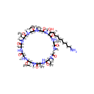 CCC[C@H]1NC(=O)[C@H]([C@H](O)[C@H](C)CCCCCCCCN)N(C)C(=O)[C@@H](C(C)C)N(C)C(=O)[C@@H](CC(C)C)N(C)C(=O)[C@H](CC(C)C)N(C)C(=O)[C@H](C)NC(=O)[C@@H](C)NC(=O)[C@@H](CC(C)C)N(C)C(=O)[C@@H](C(C)C)NC(=O)[C@H](CC(C)C)N(C)C(=O)CN(C)C1=O